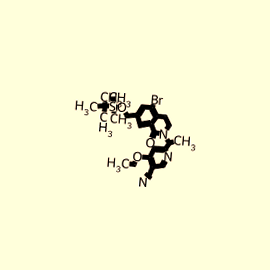 CCOc1cc(C(C)N2CCc3c(Br)cc(CO[Si](C)(C)C(C)(C)C)cc3C2=O)ncc1C#N